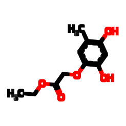 CCOC(=O)COc1cc(C)c(O)cc1O